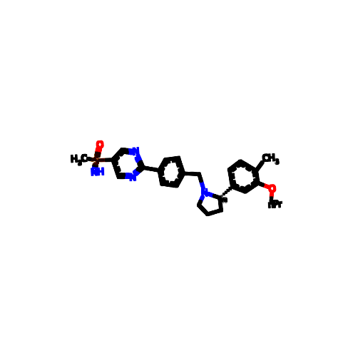 CCCOc1cc([C@@H]2CCCN2Cc2ccc(-c3ncc(S(C)(=N)=O)cn3)cc2)ccc1C